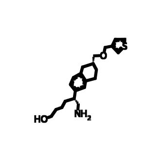 NC[C@H](CCCCO)c1ccc2c(c1)CC[C@@H](COCc1ccsc1)C2